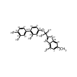 Cc1cc(F)c2nc(C(F)(F)Oc3ccc(-c4ccc(F)c(F)c4)c(F)c3)sc2c1